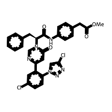 COC(=O)Cc1ccc(NC(=O)[C@H](Cc2ccccc2)n2cnc(-c3cc(Cl)ccc3-n3cc(Cl)nn3)cc2=O)cc1